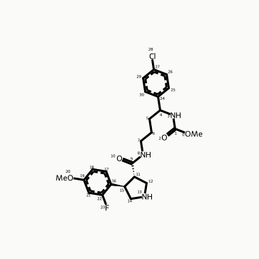 COC(=O)NC(CCCNC(=O)[C@@H]1CNC[C@H]1c1ccc(OC)cc1F)c1ccc(Cl)cc1